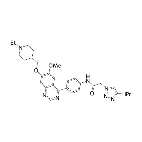 CCN1CCC(COc2cc3ncnc(-c4ccc(NC(=O)Cn5cc(C(C)C)nn5)cc4)c3cc2OC)CC1